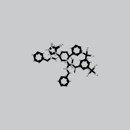 C[C@@H](OC[C@@]1(c2ccccc2)CC[C@](COCc2ccccc2)(n2cn[nH]c2=O)CN1C(=O)OCc1ccccc1)c1cc(C(F)(F)F)cc(C(F)(F)F)c1